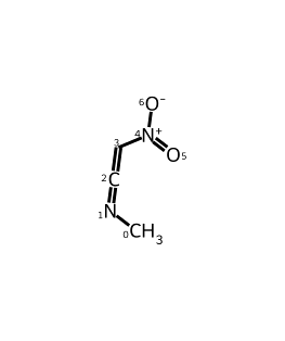 CN=C=C[N+](=O)[O-]